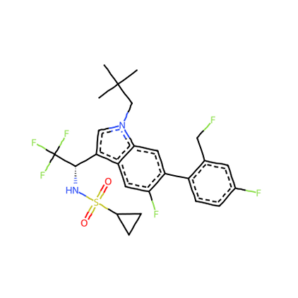 CC(C)(C)Cn1cc([C@H](NS(=O)(=O)C2CC2)C(F)(F)F)c2cc(F)c(-c3ccc(F)cc3CF)cc21